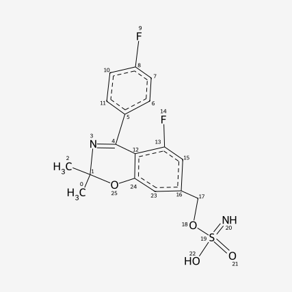 CC1(C)N=C(c2ccc(F)cc2)c2c(F)cc(COS(=N)(=O)O)cc2O1